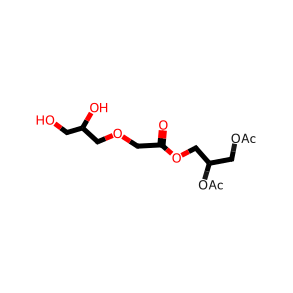 CC(=O)OCC(COC(=O)COCC(O)CO)OC(C)=O